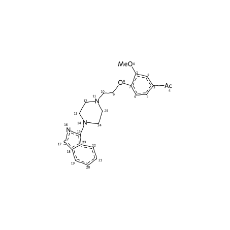 COc1cc(C(C)=O)ccc1OCCN1CCN(c2nsc3ccccc23)CC1